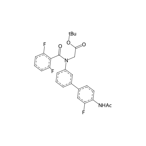 CC(=O)Nc1ccc(-c2cccc(N(CC(=O)OC(C)(C)C)C(=O)c3c(F)cccc3F)c2)cc1F